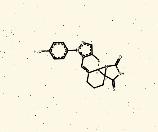 Cc1ccc(-n2ncc3c2C=C2CCC[C@]45C(=S)NC(=O)N4[C@]25C3)cc1